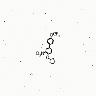 O=[N+]([O-])c1cc(-c2ccc(OC(F)(F)F)cc2)ccc1OC1CCCC1